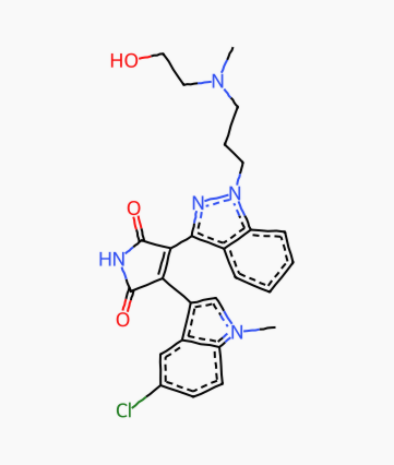 CN(CCO)CCCn1nc(C2=C(c3cn(C)c4ccc(Cl)cc34)C(=O)NC2=O)c2ccccc21